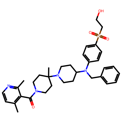 Cc1ccnc(C)c1C(=O)N1CCC(C)(N2CCC(N(Cc3ccccc3)c3ccc(S(=O)(=O)CCO)cc3)CC2)CC1